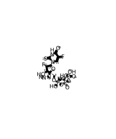 [N-]=[N+]=N[C@]1(COP(=O)(O)OP(=O)(O)OP(=O)(O)O)O[C@@H](n2cc(F)c(=O)[nH]c2=S)[C@@H](F)C1O